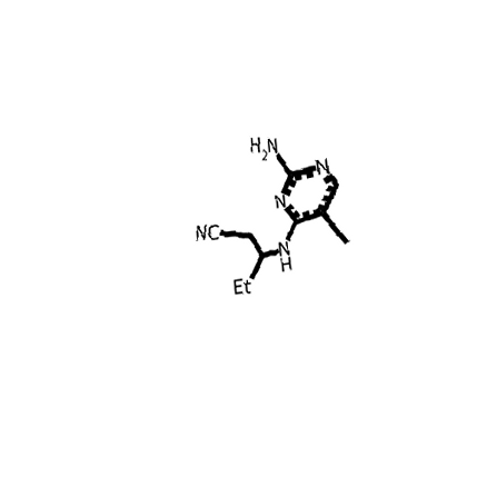 CCC(CC#N)Nc1nc(N)ncc1C